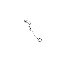 O=C(O)CSCCCCCCCc1ccccc1